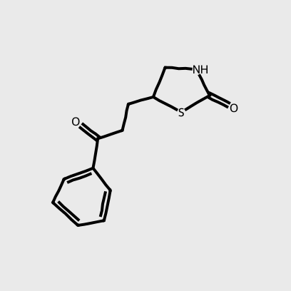 O=C1NCC(CCC(=O)c2ccccc2)S1